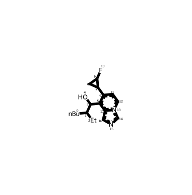 CCCCC(CC)C(O)c1c(C2CC2F)ccn2cncc12